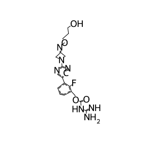 N=C(N)NC(=O)OCc1cccc(-c2cnc(N3CC(=NOCCCO)C3)nc2)c1F